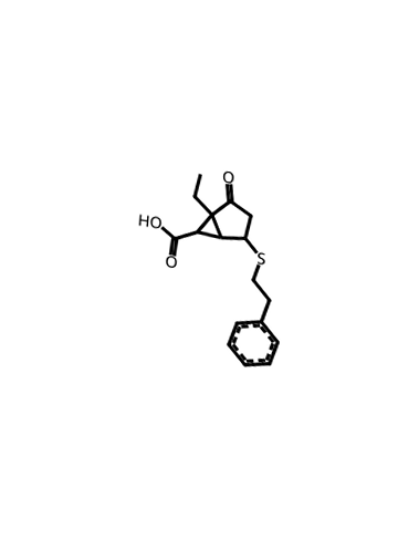 CCC12C(=O)CC(SCCc3ccccc3)C1C2C(=O)O